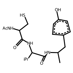 CC(=O)NC(CS)C(=O)NC(C(=O)NC(C)Cc1ccc(O)cc1)C(C)C